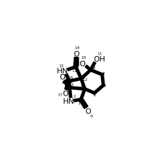 O=C1NC(=O)C12CCCC(O)(O)C21C(=O)NC1=O